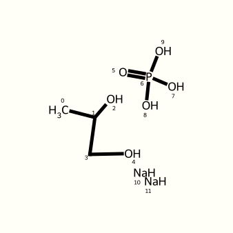 CC(O)CO.O=P(O)(O)O.[NaH].[NaH]